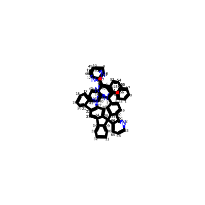 c1ccc(-c2cc(-c3ccccc3)nc(-n3c4ccccc4c4cc5c(cc43)C3(c4ccccc4-5)c4cc(-c5c6ccccc6c(-c6ncccn6)c6ccccc56)ccc4-c4ncccc43)n2)cc1